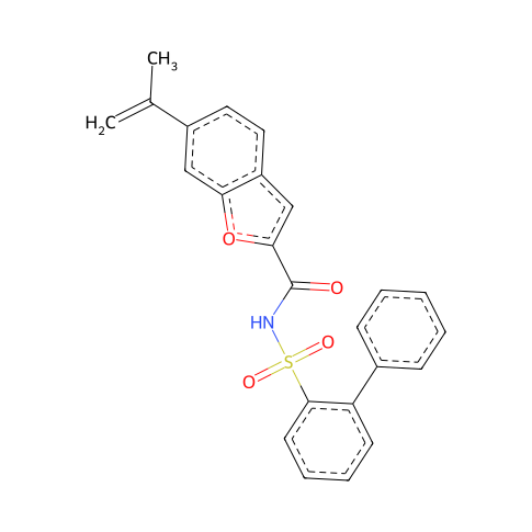 C=C(C)c1ccc2cc(C(=O)NS(=O)(=O)c3ccccc3-c3ccccc3)oc2c1